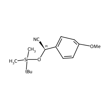 COc1ccc([C@H](C#N)O[Si](C)(C)C(C)(C)C)cc1